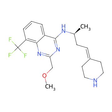 COCc1nc(N[C@@H](C)CC=C2CCNCC2)c2cccc(C(F)(F)F)c2n1